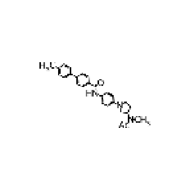 CC(=O)N(C)C1CCN(c2ccc(NC(=O)c3ccc(-c4ccc(C)cc4)cc3)cc2)C1